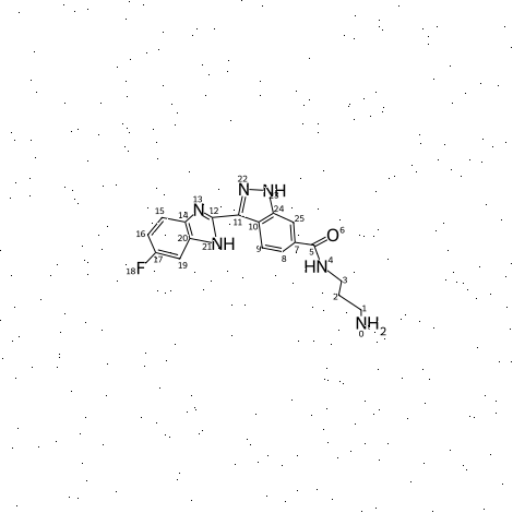 NCCCNC(=O)c1ccc2c(-c3nc4ccc(F)cc4[nH]3)n[nH]c2c1